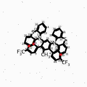 Cc1c(-c2ccc(C(F)(F)F)cc2)c(N2c3ccccc3Sc3ccccc32)cc(N2c3ccccc3Sc3ccccc32)c1-c1ccc(C(F)(F)F)cc1